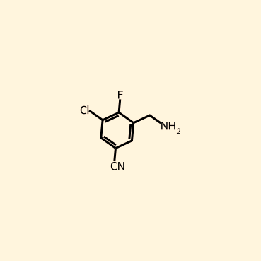 N#Cc1cc(Cl)c(F)c(CN)c1